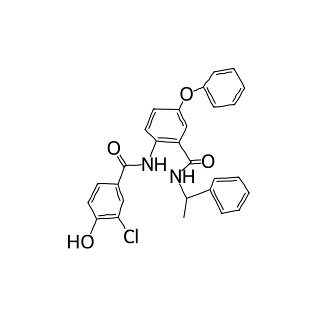 CC(NC(=O)c1cc(Oc2ccccc2)ccc1NC(=O)c1ccc(O)c(Cl)c1)c1ccccc1